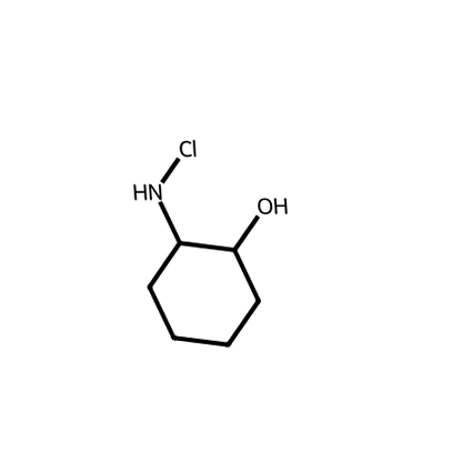 OC1CCCCC1NCl